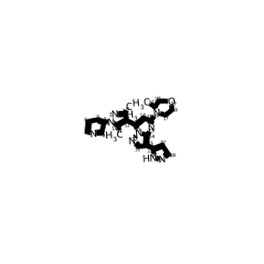 Cc1nn(-c2cccnc2)c(C)c1-c1cc(N2CCOCC2C)nc2c(-c3ccn[nH]3)cnn12